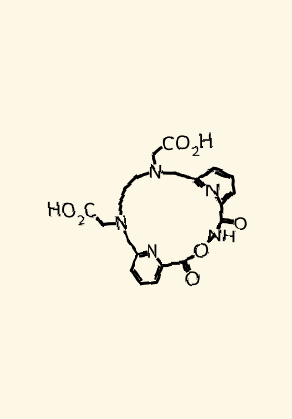 O=C(O)CN1CCCN(CC(=O)O)Cc2cccc(n2)C(=O)ONC(=O)c2cccc(n2)C1